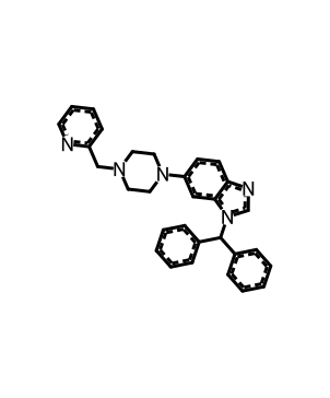 c1ccc(C(c2ccccc2)n2cnc3ccc(N4CCN(Cc5ccccn5)CC4)cc32)cc1